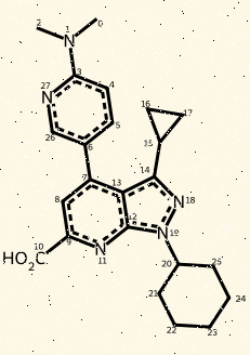 CN(C)c1ccc(-c2cc(C(=O)O)nc3c2c(C2CC2)nn3C2CCCCC2)cn1